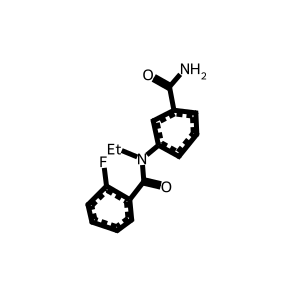 CCN(C(=O)c1ccccc1F)c1cccc(C(N)=O)c1